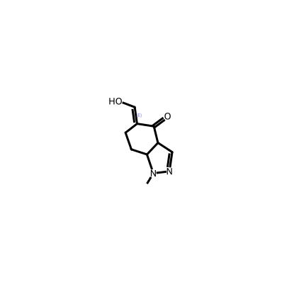 CN1N=CC2C(=O)/C(=C/O)CCC21